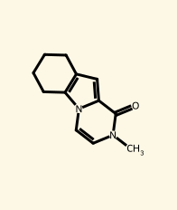 Cn1ccn2c3c(cc2c1=O)CCCC3